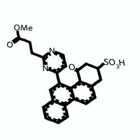 COC(=O)CCc1nccc(-c2cc3ccccc3c3ccc4c(c23)C(=O)CC(S(=O)(=O)O)C4)n1